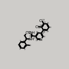 Cc1ccccc1C(CC(=O)O)NC(=O)c1cncc(-c2cccc(Cl)c2Cl)c1